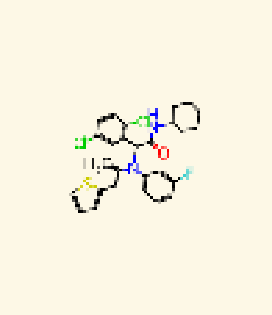 C=C(Cc1cccs1)N(c1cccc(F)c1)C(C(=O)NC1CCCCC1)c1cc(Cl)ccc1Cl